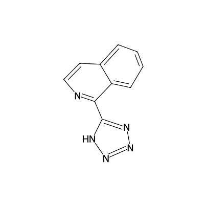 c1ccc2c(-c3nnn[nH]3)nccc2c1